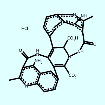 Cc1nc2ccc3cc2c(N)c1C(=O)NC1=C2c4ccc5nc(C)c(c(N)c5c4)C(=O)NN(C(C(=O)O)=C13)C2C(=O)O.Cl